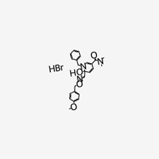 Br.COc1ccc(CON=CC2(O)C=CC(C(=O)N(C)C)=CN2Cc2ccccc2)cc1